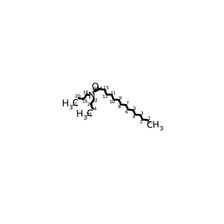 CCCCCCCCCCCCCCC1OC1N(CCCC)CCCC